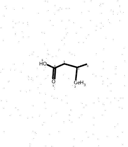 C[CH]([GeH3])CC(=O)O